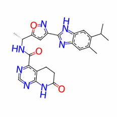 Cc1cc2nc(-c3cc([C@@H](C)NC(=O)c4ncnc5c4CCC(=O)N5)on3)[nH]c2cc1C(C)C